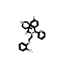 CC1(C(=O)N(CCOc2ccccc2C(F)(F)F)[C@@H](c2ccc(F)cc2)c2ccccn2)CCNCC1